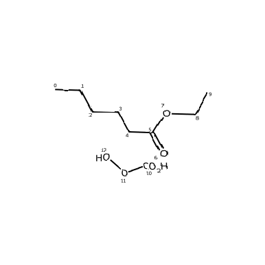 CCCCCC(=O)OCC.O=C(O)OO